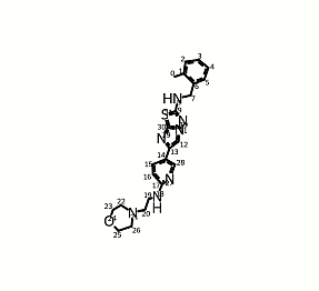 Cc1ccccc1CNc1nn2cc(-c3ccc(NCCN4CCOCC4)nc3)nc2s1